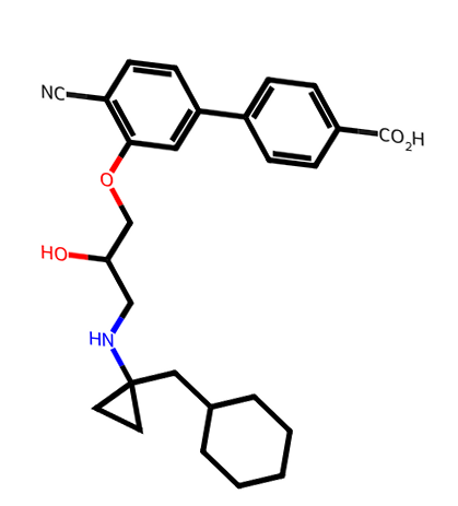 N#Cc1ccc(-c2ccc(C(=O)O)cc2)cc1OCC(O)CNC1(CC2CCCCC2)CC1